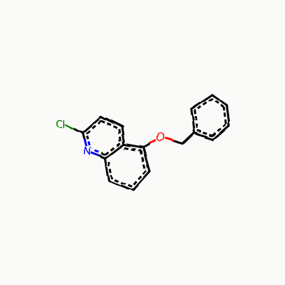 Clc1ccc2c(OCc3ccccc3)cccc2n1